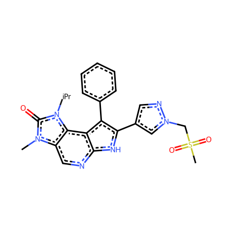 CC(C)n1c(=O)n(C)c2cnc3[nH]c(-c4cnn(CS(C)(=O)=O)c4)c(-c4ccccc4)c3c21